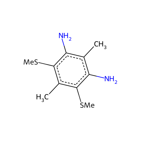 CSc1c(C)c(SC)c(N)c(C)c1N